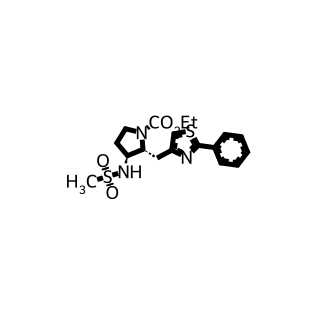 CCOC(=O)N1CC[C@@H](NS(C)(=O)=O)[C@H]1Cc1csc(-c2ccccc2)n1